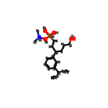 CCCC(CCC)c1cccc(C(CCCO)CCS(=O)(=O)ON(C)C)c1